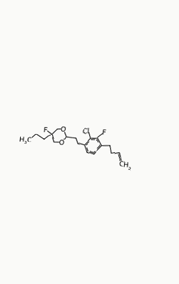 C=CCCc1ccc(CCC2OCC(F)(CCC)CO2)c(Cl)c1F